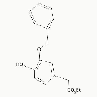 CCOC(=O)Cc1ccc(O)c(OCc2ccccc2)c1